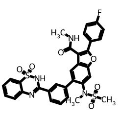 CNC(=O)c1c(-c2ccc(F)cc2)oc2cc(N(C)S(C)(=O)=O)c(-c3cccc(C4=Nc5ccccc5S(=O)(=O)N4)c3)cc12